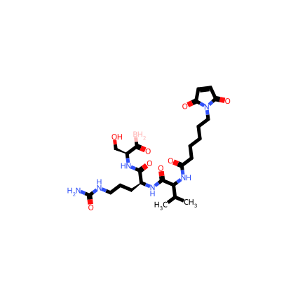 BC(=O)[C@H](CO)NC(=O)[C@H](CCCNC(N)=O)NC(=O)C(NC(=O)CCCCCN1C(=O)C=CC1=O)C(C)C